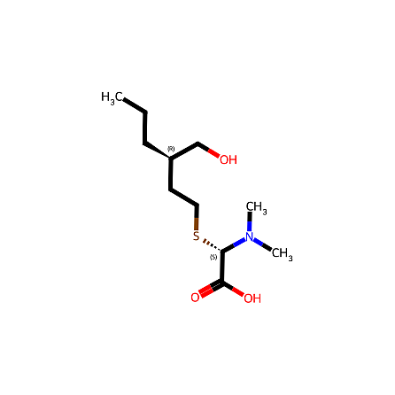 CCC[C@@H](CO)CCS[C@@H](C(=O)O)N(C)C